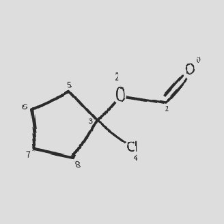 O=COC1(Cl)CCCC1